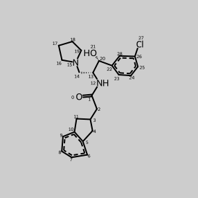 O=C(CC1Cc2ccccc2C1)N[C@H](CN1CCCC1)[C@H](O)c1cccc(Cl)c1